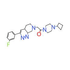 O=C(CN1CCC2C=C(c3cccc(F)c3)N=NC2C1)N1CCN(C2CCC2)CC1